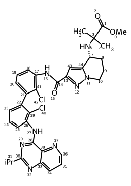 COC(=O)C(C)(C)N[C@@H]1CCCn2nc(C(=O)Nc3cccc(-c4cccc(Nc5nc(C(C)C)nc6cccnc56)c4Cl)c3Cl)cc21